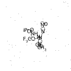 CC(C)OC(=O)NCc1cc(-c2nn(CCCN3CCC(N4CCCC4=O)CC3)c3c2CN(S(C)(=O)=O)CC3)ccc1C(F)(F)F